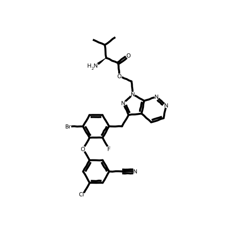 CC(C)[C@H](N)C(=O)OCn1nc(Cc2ccc(Br)c(Oc3cc(Cl)cc(C#N)c3)c2F)c2ccnnc21